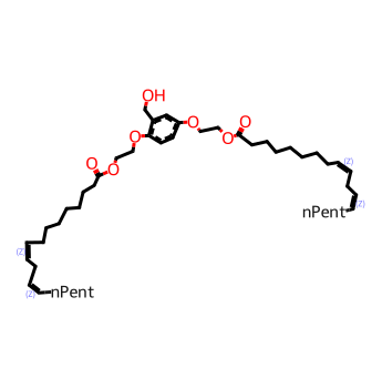 CCCCC/C=C\C/C=C\CCCCCCCC(=O)OCCOc1ccc(OCCOC(=O)CCCCCCC/C=C\C/C=C\CCCCC)c(CO)c1